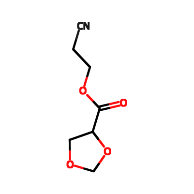 N#CCCOC(=O)C1COCO1